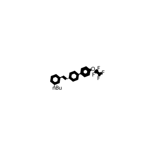 CCCC[C@@H]1CCC[C@@H](CC[C@H]2CC[C@H](c3ccc(OC(F)(F)C(F)F)cc3)CC2)C1